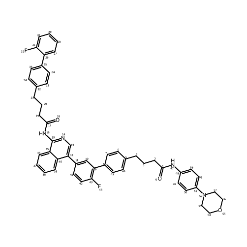 O=C(CCCc1ccc(-c2cc(-c3cnc(NC(=O)CCCc4ccc(-c5ccccc5F)cc4)c4ccccc34)ccc2F)cc1)Nc1ccc(N2CCOCC2)cc1